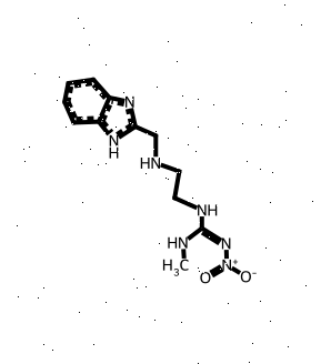 CN/C(=N\[N+](=O)[O-])NCCNCc1nc2ccccc2[nH]1